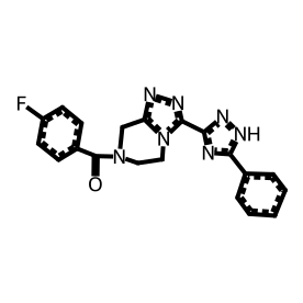 O=C(c1ccc(F)cc1)N1CCn2c(nnc2-c2n[nH]c(-c3ccccc3)n2)C1